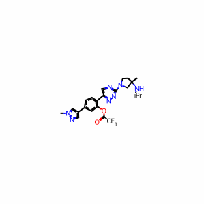 CC(C)NC1(C)CCN(c2ncc(-c3ccc(-c4cnn(C)c4)cc3OC(=O)C(F)(F)F)nn2)C1